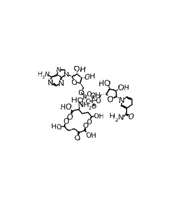 NC(=O)C1=CN([C@@H]2O[C@H](COP(=O)(O)OP(=O)(O)OC[C@H]3O[C@@H](n4cnc5c(N)ncnc54)[C@H](O)[C@@H]3O)[C@@H](O)[C@H]2O)C=CC1.NC(CCC(=O)O)C(=O)O.O=C(O)CCC(=O)C(=O)O